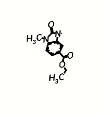 CCOC(=O)c1ccc2c(c1)[N]C(=O)N2C